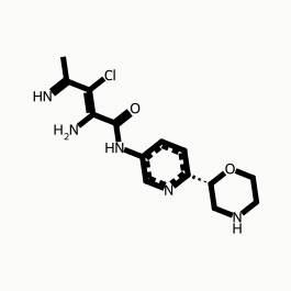 CC(=N)/C(Cl)=C(\N)C(=O)Nc1ccc([C@H]2CNCCO2)nc1